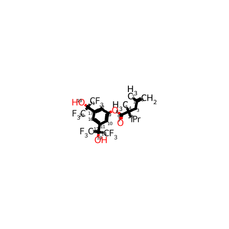 C=C(C)CC(C)(C(=O)Oc1cc(C(O)(C(F)(F)F)C(F)(F)F)cc(C(O)(C(F)(F)F)C(F)(F)F)c1)C(C)C